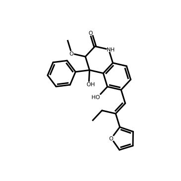 CCC(=Cc1ccc2c(c1O)C(O)(c1ccccc1)C(OC)C(=O)N2)c1ccco1